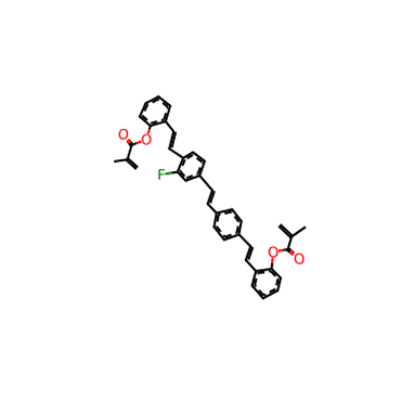 C=C(C)C(=O)Oc1ccccc1/C=C/c1ccc(/C=C/c2ccc(/C=C/c3ccccc3OC(=O)C(=C)C)c(F)c2)cc1